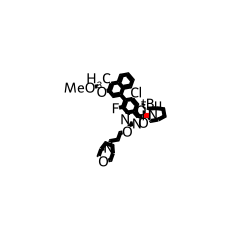 COCOc1cc(-c2c(Cl)cc3c(N4CC5CCC(C4)N5C(=O)OC(C)(C)C)nc(OCCCN4C5CCC4COC5)nc3c2F)c2ccccc2c1C